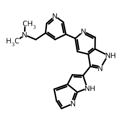 CN(C)Cc1cncc(-c2cc3c(-c4cc5cccnc5[nH]4)n[nH]c3cn2)c1